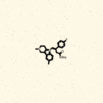 CNC(=O)C/C(=C\n1c2c(c3cc(C)ccc31)CN(C)CC2)c1ccc(F)cc1